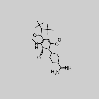 CNC1=C(C(=O)C(C(C)(C)C)C(C)(C)C)[C]=C(O[O])C(C2CCC(C(=N)N)CC2)C1=C=O